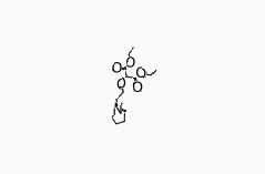 CCOC(=O)C(OCCN1CCCC1)C(=O)OCC